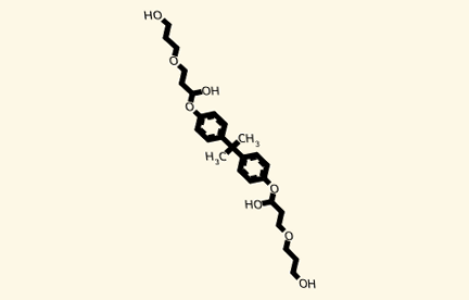 CC(C)(c1ccc(OC(O)CCOCCCO)cc1)c1ccc(OC(O)CCOCCCO)cc1